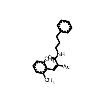 CC(=O)/C(=C/c1c(C)cccc1C)C(=O)NCCCc1ccccc1